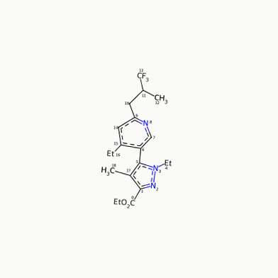 CCOC(=O)c1nn(CC)c(-c2cnc(CC(C)C(F)(F)F)cc2CC)c1C